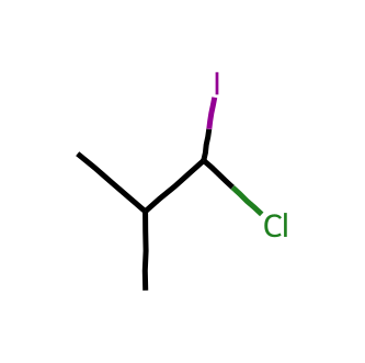 CC(C)C(Cl)I